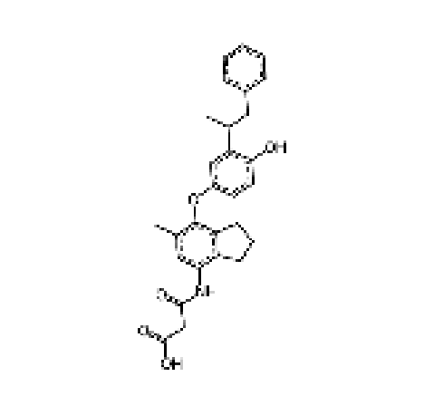 Cc1cc(NC(=O)CC(=O)O)c2c(c1Oc1ccc(O)c(C(C)Cc3ccccc3)c1)CCC2